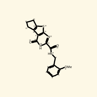 COc1ccccc1CNC(=O)c1nc2sc3c(c2c(=O)[nH]1)CCC3